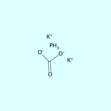 O=C([O-])[O-].P.[K+].[K+]